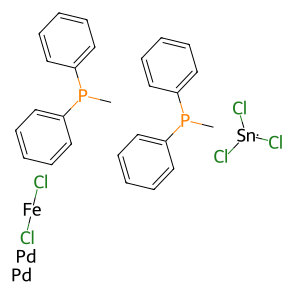 CP(c1ccccc1)c1ccccc1.CP(c1ccccc1)c1ccccc1.[Cl][Fe][Cl].[Cl][Sn]([Cl])[Cl].[Pd].[Pd]